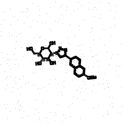 COc1ccc2cc(-c3cn([C@H]4C(O)O[C@H](CO)[C@@H](O)[C@@H]4O)nn3)ccc2c1